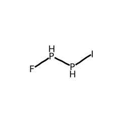 FPPI